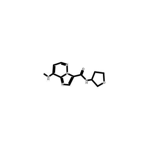 CNc1ccnn2c(C(=O)NC3CCOC3)cnc12